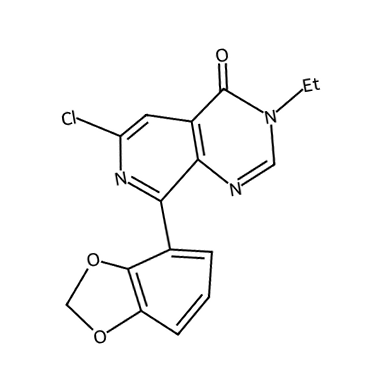 CCn1cnc2c(-c3cccc4c3OCO4)nc(Cl)cc2c1=O